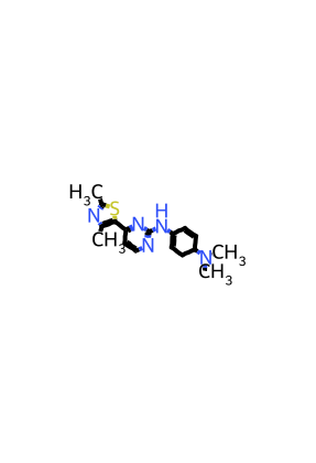 Cc1nc(C)c(-c2ccnc(NC3=CCC(N(C)C)C=C3)n2)s1